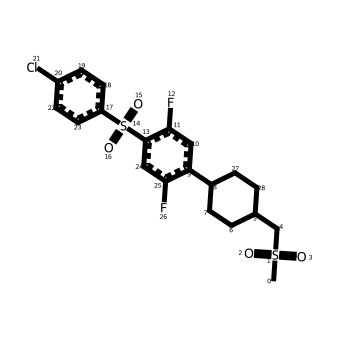 CS(=O)(=O)CC1CCC(c2cc(F)c(S(=O)(=O)c3ccc(Cl)cc3)cc2F)CC1